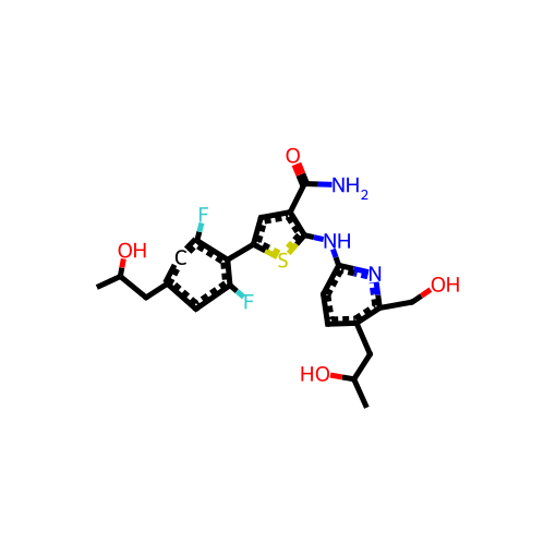 CC(O)Cc1cc(F)c(-c2cc(C(N)=O)c(Nc3ccc(CC(C)O)c(CO)n3)s2)c(F)c1